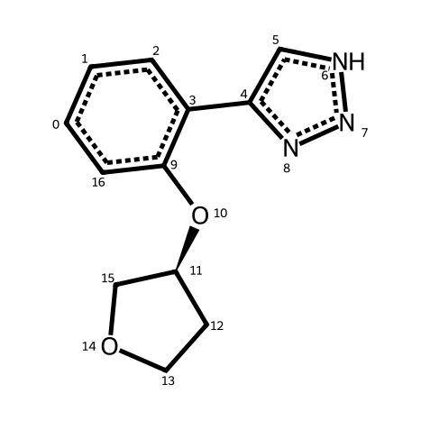 c1ccc(-c2c[nH]nn2)c(O[C@H]2CCOC2)c1